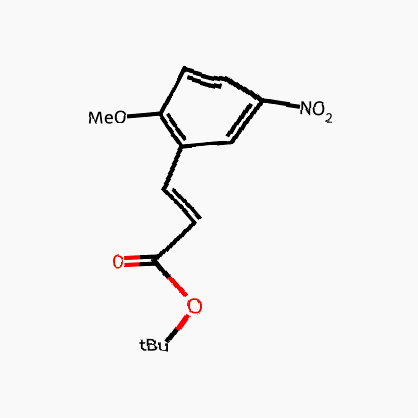 COc1ccc([N+](=O)[O-])cc1/C=C/C(=O)OC(C)(C)C